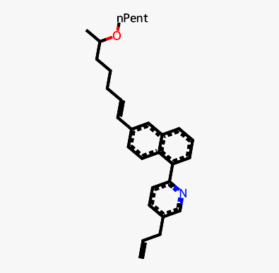 C=CCc1ccc(-c2cccc3cc(C=CCCCC(C)OCCCCC)ccc23)nc1